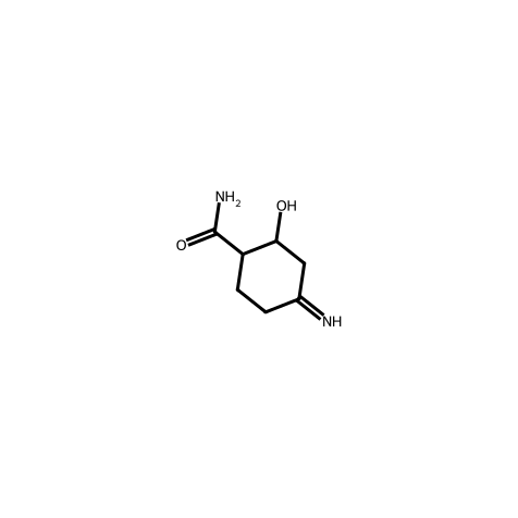 N=C1CCC(C(N)=O)C(O)C1